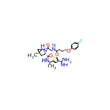 C[C@@H](NC(=O)[C@@H]1C[C@]2(C)C[C@@H]2N1C(=O)CNC(=O)CCCOc1ccc(F)cc1)c1cc(C(=N)N)cs1